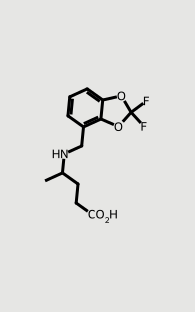 CC(CCC(=O)O)NCc1cccc2c1OC(F)(F)O2